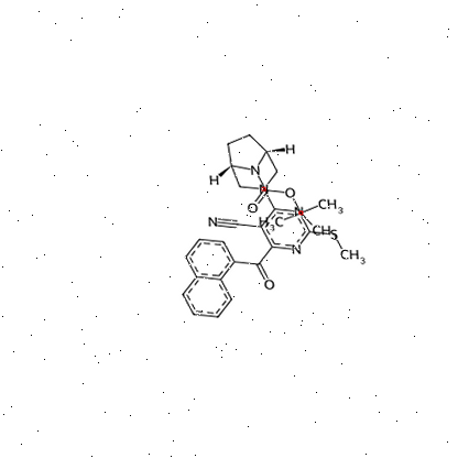 CSc1nc(C(=O)c2cccc3ccccc23)c(C#N)c(N2C[C@H]3CC[C@@H](C2)N3C(=O)OC(C)(C)C)n1